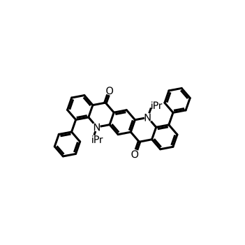 CC(C)n1c2cc3c(=O)c4cccc(-c5ccccc5)c4n(C(C)C)c3cc2c(=O)c2cccc(-c3ccccc3)c21